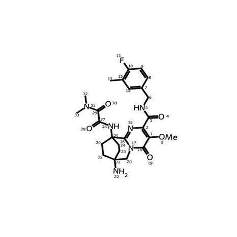 COc1c(C(=O)NCc2ccc(F)c(C)c2)nc2n(c1=O)CC1(N)CCC2(NC(=O)C(=O)N(C)C)CC1